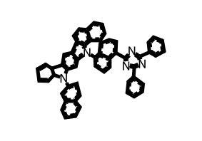 C1=CC2c3cc4c5ccc6ccccc6c5n(-c5cccc6c(-c7nc(-c8ccccc8)nc(-c8ccccc8)n7)cccc56)c4cc3N(c3ccc4ccccc4c3)C2C=C1